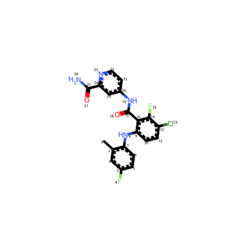 Cc1cc(F)ccc1Nc1ccc(Cl)c(F)c1C(=O)Nc1ccnc(C(N)=O)c1